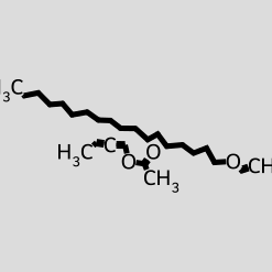 C=COCCCCCCCCCCCCCCCCCC.CC=C=COC(C)=O